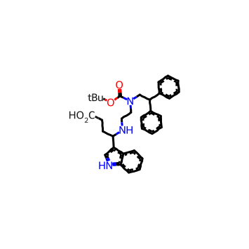 CC(C)(C)OC(=O)N(CCNC(CCC(=O)O)c1c[nH]c2ccccc12)CC(c1ccccc1)c1ccccc1